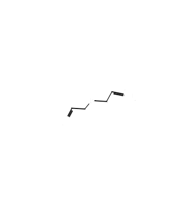 C=CC[B]CC=C